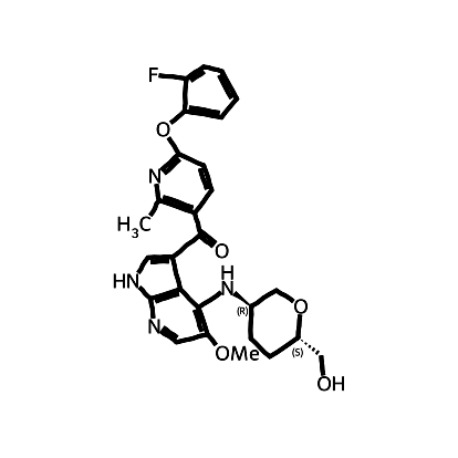 COc1cnc2[nH]cc(C(=O)c3ccc(Oc4ccccc4F)nc3C)c2c1N[C@@H]1CC[C@@H](CO)OC1